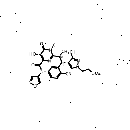 COCCn1cc([C@H](c2ccccc2C#N)[C@H](C)c2nc(C(=O)Nc3cnoc3)c(O)c(=O)n2C)c(C)n1